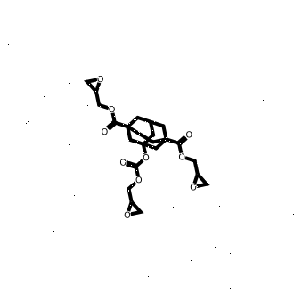 O=C(OCC1CO1)OC12CC3CC(C(=O)OCC4CO4)(C1)CC(C(=O)OCC1CO1)(C3)C2